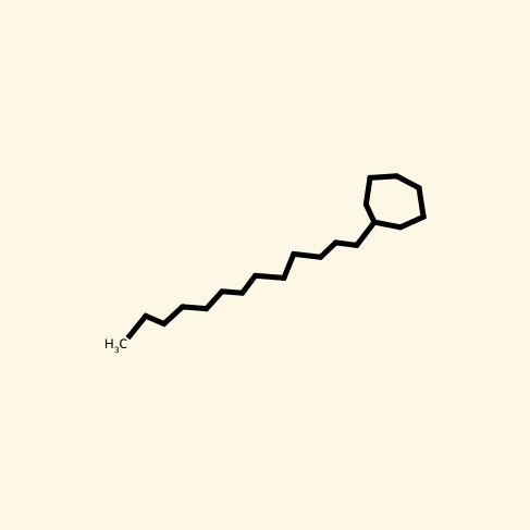 CCCCCCCCCCCCCC1CCCCCC1